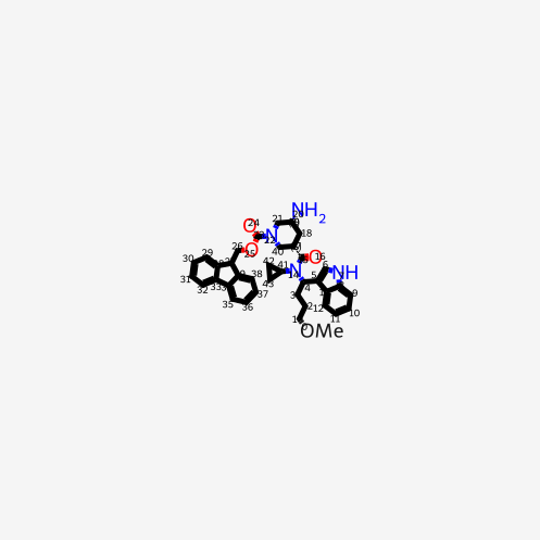 COCCCC(c1c[nH]c2ccccc12)N(C(=O)[C@H]1C[C@@H](N)CN(C(=O)OCC2c3ccccc3-c3ccccc32)C1)C1CC1